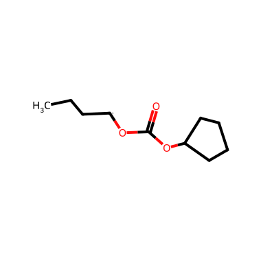 CCC[CH]OC(=O)OC1CCCC1